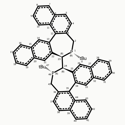 CC(C)(C)[P@@]1Cc2ccc3ccccc3c2-c2cc3ccccc3cc2[C@@H]1[C@H]1c2cc3ccccc3cc2-c2c(ccc3ccccc23)C[P@]1C(C)(C)C